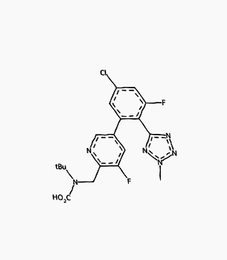 Cn1nnc(-c2c(F)cc(Cl)cc2-c2cnc(CN(C(=O)O)C(C)(C)C)c(F)c2)n1